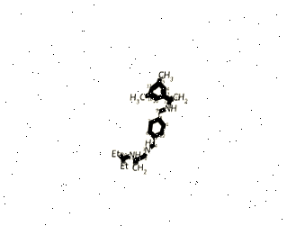 C=C(CNC[C@H]1CC[C@H](CNC(=C)c2cc(C)cc(C)c2)CC1)NC(CC)CC